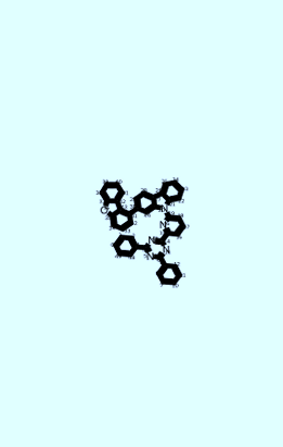 c1ccc(-c2nc(-c3ccccc3)nc(-c3cccc(-n4c5ccccc5c5ccc(-c6cccc7oc8ccccc8c67)cc54)n3)n2)cc1